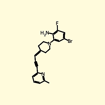 Cc1cccc(C#CC=C2CCN(c3cc(Br)cc(F)c3N)CC2)n1